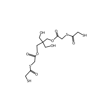 O=C(CSC(=O)CS)OCC(CO)(CO)COC(=O)CSC(=O)CS